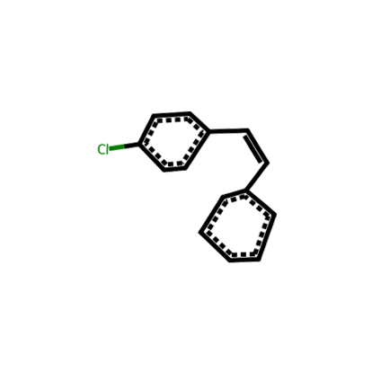 Clc1ccc(/C=C\c2ccccc2)cc1